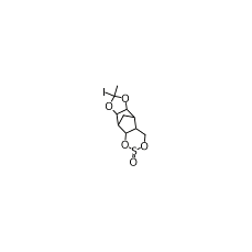 CC1(I)OC2C3CC(C4OS(=O)OCC34)C2O1